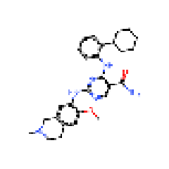 COc1cc2c(cc1Nc1ncc(C(N)=O)c(Nc3ccccc3C3CCCCC3)n1)CN(C)CC2